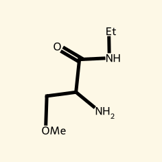 CCNC(=O)C(N)COC